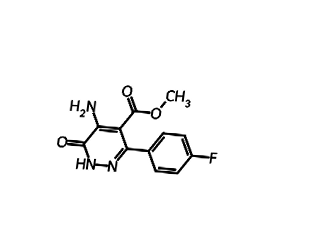 COC(=O)c1c(-c2ccc(F)cc2)n[nH]c(=O)c1N